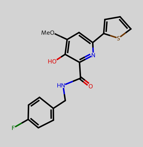 COc1cc(-c2cccs2)nc(C(=O)NCc2ccc(F)cc2)c1O